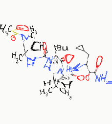 CN(CC(C)(C)NC(=O)N[C@H](C(=O)N1C[C@H]2[C@@H]([C@H]1C(=O)NC(CC1CC1)C(=O)C(N)=O)C2(C)C)C(C)(C)C)S(C)(=O)=O